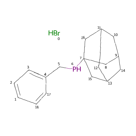 Br.c1ccc(CPC23CC4CC(CC(C4)C2)C3)cc1